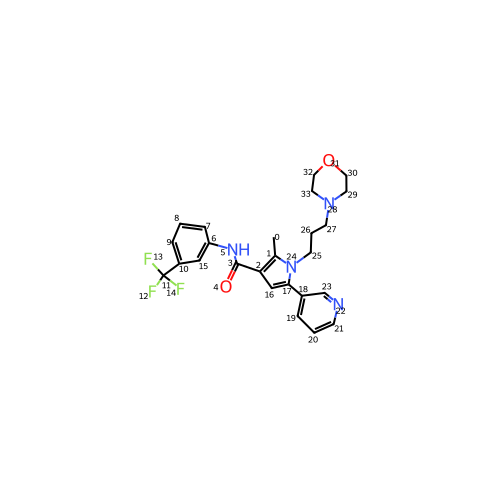 Cc1c(C(=O)Nc2cccc(C(F)(F)F)c2)cc(-c2cccnc2)n1CCCN1CCOCC1